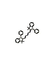 CC1(C)\C(=C/C=C/C=C/C2N(c3ccccc3)c3ccccc3C2(C)C)N(c2ccccc2)c2ccccc21